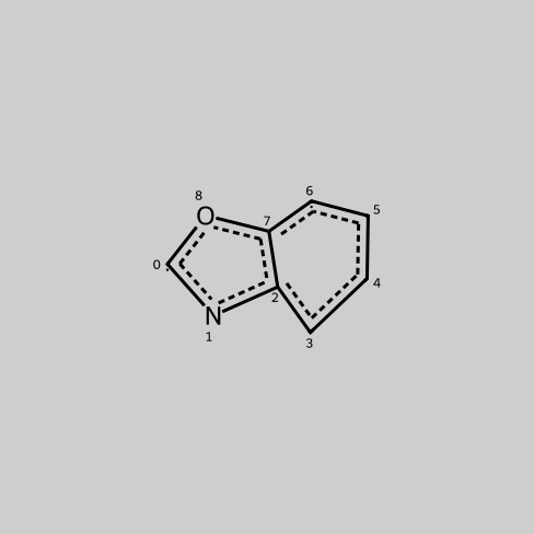 [c]1nc2ccc[c]c2o1